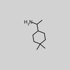 CC(N)C1CCC(C)(C)CC1